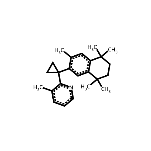 Cc1cc2c(cc1C1(c3ncccc3C)CC1)C(C)(C)CCC2(C)C